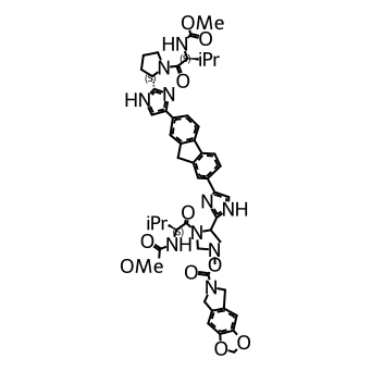 COC(=O)N[C@H](C(=O)N1CN(OC(=O)N2Cc3cc4c(cc3C2)OCO4)CC1c1nc(-c2ccc3c(c2)Cc2cc(-c4c[nH]c([C@@H]5CCCN5C(=O)[C@@H](NC(=O)OC)C(C)C)n4)ccc2-3)c[nH]1)C(C)C